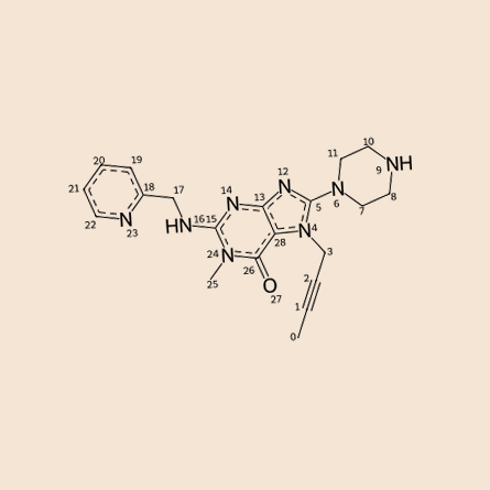 CC#CCn1c(N2CCNCC2)nc2nc(NCc3ccccn3)n(C)c(=O)c21